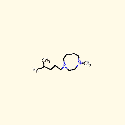 CC(C)CCCN1CCCCN(C)CC1